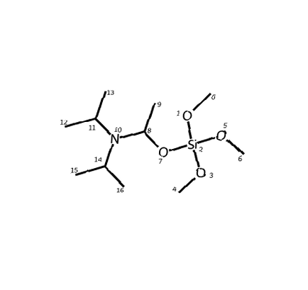 CO[Si](OC)(OC)OC(C)N(C(C)C)C(C)C